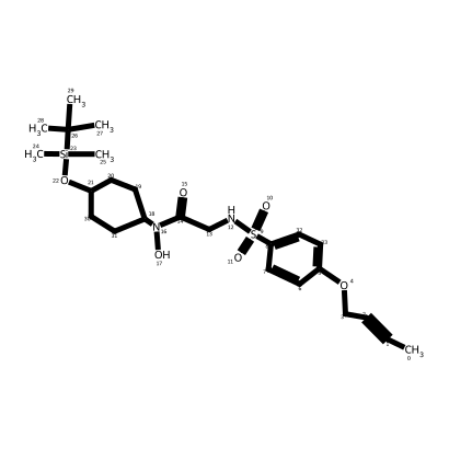 CC#CCOc1ccc(S(=O)(=O)NCC(=O)N(O)C2CCC(O[Si](C)(C)C(C)(C)C)CC2)cc1